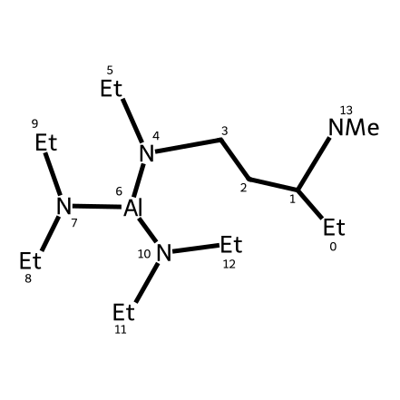 CCC(CC[N](CC)[Al]([N](CC)CC)[N](CC)CC)NC